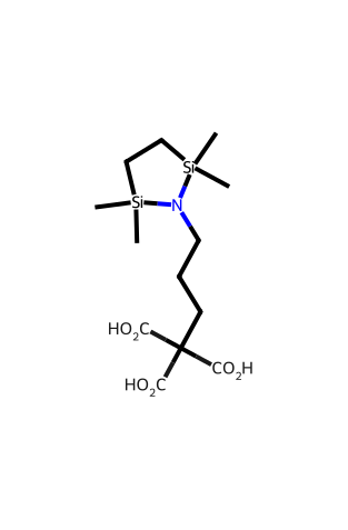 C[Si]1(C)CC[Si](C)(C)N1CCCC(C(=O)O)(C(=O)O)C(=O)O